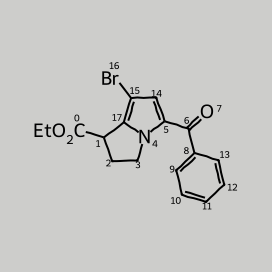 CCOC(=O)C1CCn2c(C(=O)c3ccccc3)cc(Br)c21